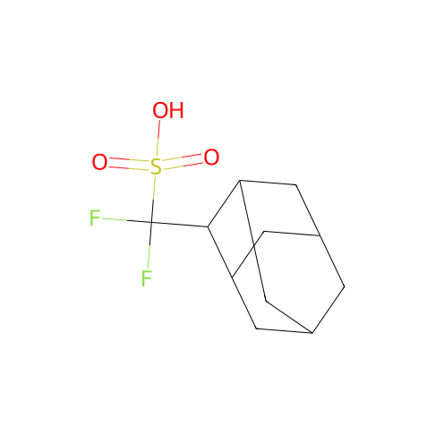 O=S(=O)(O)C(F)(F)C1C2CC3CC(C2)CC1C3